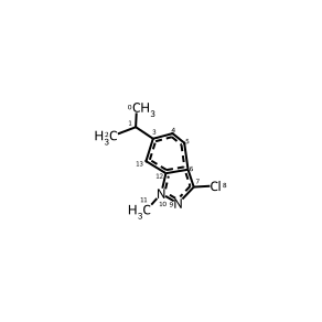 CC(C)c1ccc2c(Cl)nn(C)c2c1